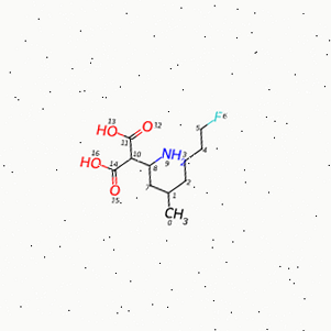 CC(CCCCF)CC(N)C(C(=O)O)C(=O)O